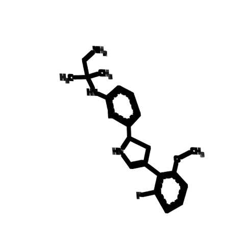 COc1cccc(F)c1C1=CNC(c2cccc(NC(C)(C)CN)n2)C1